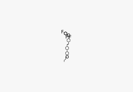 CCCCOC1CCC(C2CCC(/C=C/C3CCC(C(F)(F)Oc4ccc(F)cc4)CC3)CC2)CC1